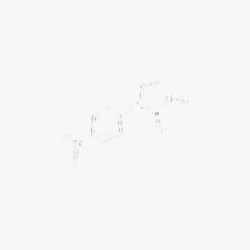 CN1CCN(c2ccc([N+](C)=O)cc2)C1=O